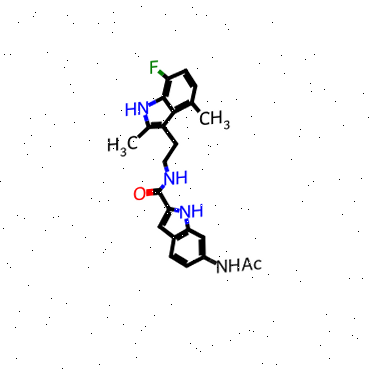 CC(=O)Nc1ccc2cc(C(=O)NCCc3c(C)[nH]c4c(F)ccc(C)c34)[nH]c2c1